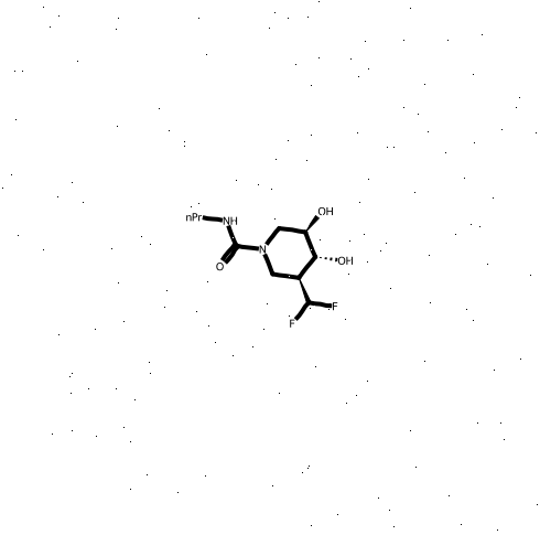 CCCNC(=O)N1C[C@@H](O)[C@H](O)[C@@H](C(F)F)C1